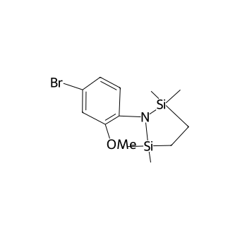 COc1cc(Br)ccc1N1[Si](C)(C)CC[Si]1(C)C